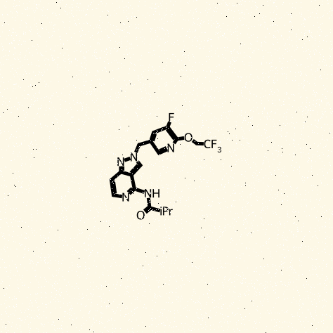 CC(C)C(=O)Nc1nccc2nn(Cc3cnc(OCC(F)(F)F)c(F)c3)cc12